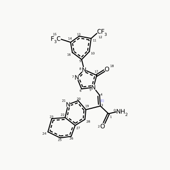 NC(=O)/C(=C/n1cnn(-c2cc(C(F)(F)F)cc(C(F)(F)F)c2)c1=O)c1cnc2ccccc2c1